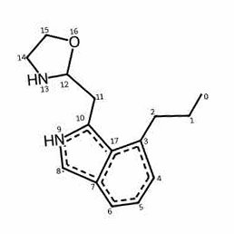 CCCc1cccc2[c][nH]c(CC3NCCO3)c12